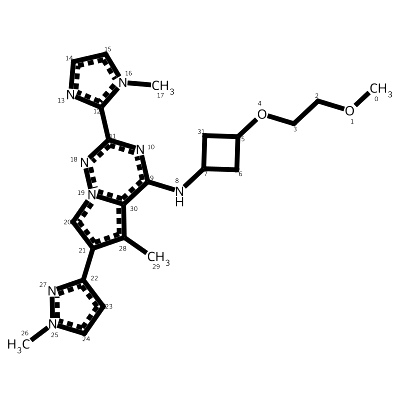 COCCOC1CC(Nc2nc(-c3nccn3C)nn3cc(-c4ccn(C)n4)c(C)c23)C1